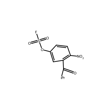 CC(C)C(=O)c1cc(OS(=O)(=O)F)ccc1[N+](=O)[O-]